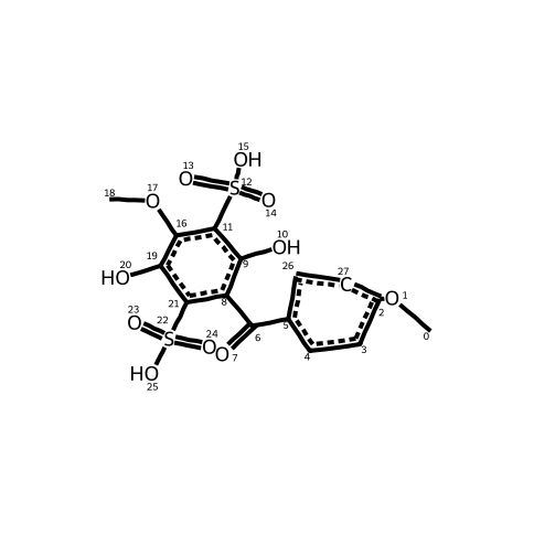 COc1ccc(C(=O)c2c(O)c(S(=O)(=O)O)c(OC)c(O)c2S(=O)(=O)O)cc1